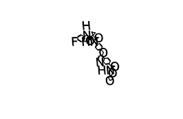 O=C(NOC1COC1)c1ccc2c(Oc3ccc(NC(=O)C4(C(=O)Nc5ccc(F)cc5)CC4)cc3)ccnc2c1